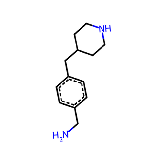 NCc1ccc(CC2CCNCC2)cc1